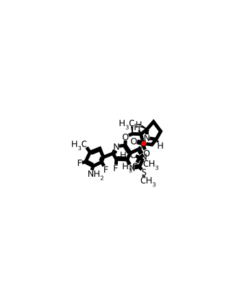 CSc1nc2c3c(nc(-c4cc(C)c(F)c(N)c4F)c(F)c3n1)O[C@@H](C)[C@@H]1[C@@H]3CC[C@H](CN21)N3C(=O)OC(C)(C)C